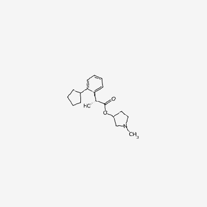 CN1CCC(OC(=O)[C@H](O)c2ccccc2C2CCCC2)C1